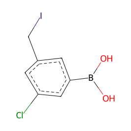 OB(O)c1cc(Cl)cc(CI)c1